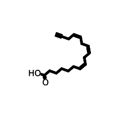 C#CC/C=C\C/C=C\C/C=C\CCCCCC(=O)O